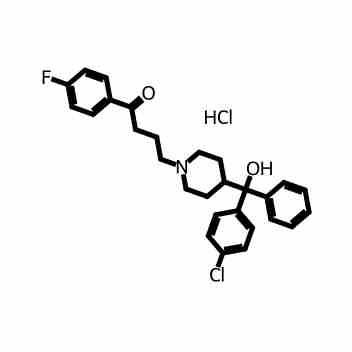 Cl.O=C(CCCN1CCC(C(O)(c2ccccc2)c2ccc(Cl)cc2)CC1)c1ccc(F)cc1